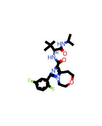 CC(C)NC(=O)[C@@H](NC(=O)c1nc(-c2cc(F)ccc2F)n2c1CCOCC2)C(C)(C)C